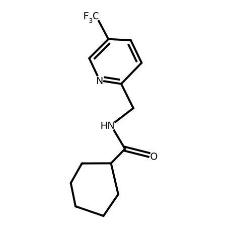 O=C(NCc1ccc(C(F)(F)F)cn1)C1CCCCC1